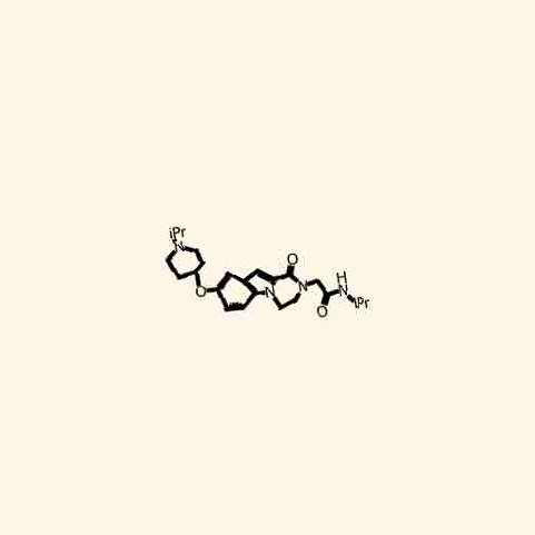 CC(C)NC(=O)CN1CCn2c(cc3cc(OC4CCN(C(C)C)CC4)ccc32)C1=O